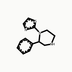 c1ccc(C2CNCCN2c2nccs2)cc1